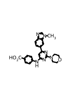 Cn1cnc2ccc(-c3cc(Nc4ccc(C(=O)O)cc4)nc(N4CCOCC4)n3)cc21